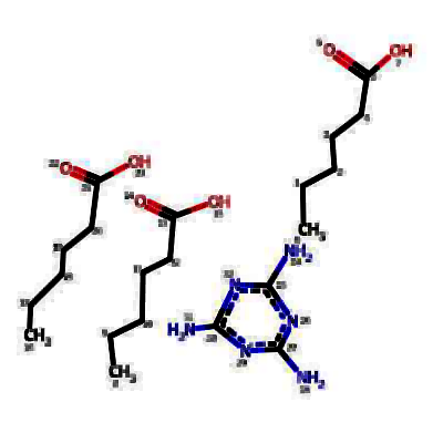 CCCCCC(=O)O.CCCCCC(=O)O.CCCCCC(=O)O.Nc1nc(N)nc(N)n1